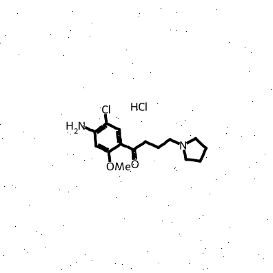 COc1cc(N)c(Cl)cc1C(=O)CCCN1CCCC1.Cl